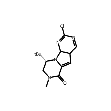 CN1C[C@H](C(C)(C)C)N2C(=CC3C=NC(Cl)=NC32)C1=O